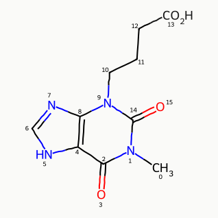 Cn1c(=O)c2[nH]cnc2n(CCCC(=O)O)c1=O